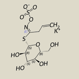 C=CC/C(=N\OS(=O)(=O)[O-])S[C@@H]1O[C@H](CO)[C@@H](O)[C@H](O)[C@H]1O.[K+]